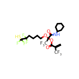 C=C(C(=O)OC(OCCCCC(F)(F)C(F)(F)S)(C(=O)NC1CCCCC1)C(F)(F)F)C(F)(F)F